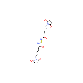 O=C(CCCCCN1C(=O)C=CC1=O)NSNC(=O)CCCCCN1C(=O)C=CC1=O